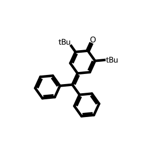 CC(C)(C)C1=CC(=C(c2ccccc2)c2ccccc2)C=C(C(C)(C)C)C1=O